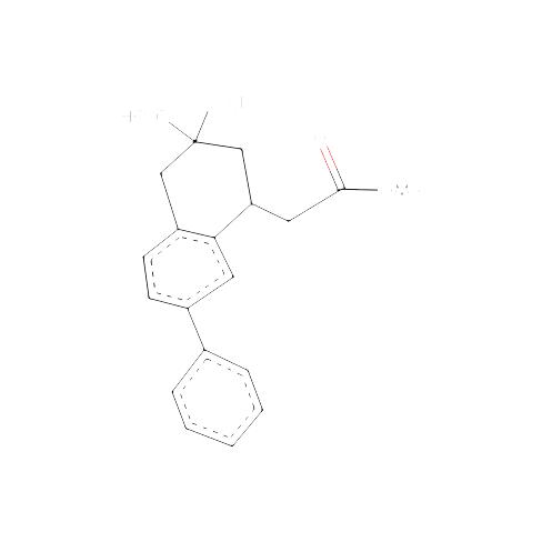 COC(=O)CC1CC(C(=O)O)(C(=O)O)Cc2ccc(-c3ccccc3)cc21